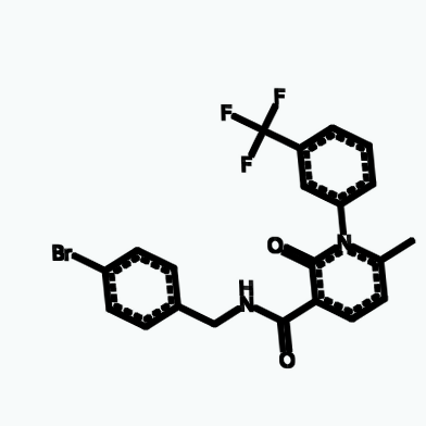 Cc1ccc(C(=O)NCc2ccc(Br)cc2)c(=O)n1-c1cccc(C(F)(F)F)c1